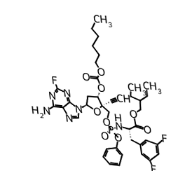 C#C[C@]1(CO[P@@](=O)(N[C@@H](Cc2cc(F)cc(F)c2)C(=O)OCC(CC)CC)Oc2ccccc2)O[C@@H](n2cnc3c(N)nc(F)nc32)C[C@@H]1OC(=O)OCCCCCC